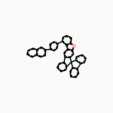 c1ccc2c(c1)-c1ccccc1C21c2ccccc2-c2cc3c(cc21)oc1cccc(-c2ccc(-c4ccc5ccccc5c4)cc2)c13